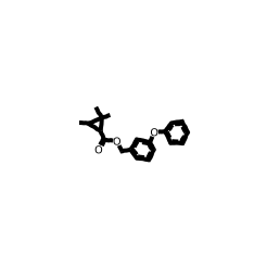 CC1C(C(=O)OCc2cccc(Oc3ccccc3)c2)C1(C)C